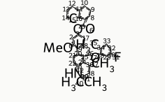 COc1cc(OC(=O)c2cccc3ccccc23)ccc1-c1ccc2c(c1COc1cc(F)ccc1C)C(C)=CC(C)(C)N2